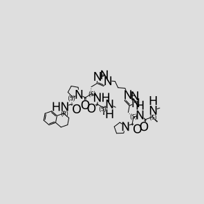 CN[C@@H](C)C(=O)N[C@@H](Cc1cn(CCCn2cc(C[C@H](NC(=O)[C@H](C)NC)C(=O)N3CCC[C@H]3C(=O)N[C@@H]3CCCc4ccccc43)nn2)nn1)C(=O)N1CCCC1